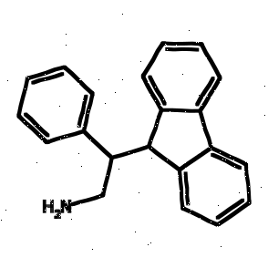 NCC(c1ccccc1)C1c2ccccc2-c2ccccc21